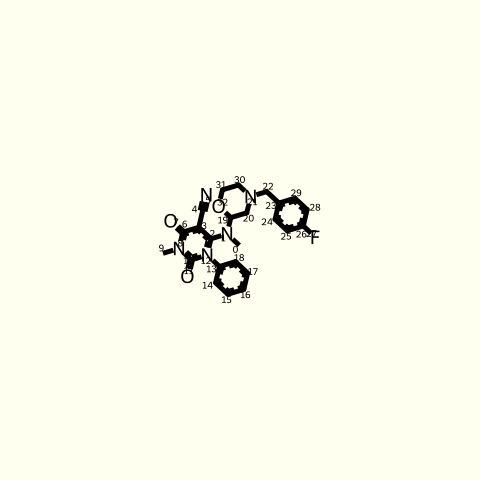 CN(c1c(C#N)c(=O)n(C)c(=O)n1-c1ccccc1)C1CN(Cc2ccc(F)cc2)CCO1